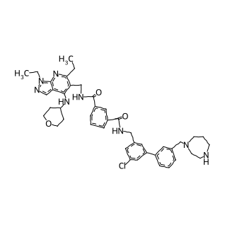 CCc1nc2c(cnn2CC)c(NC2CCOCC2)c1CNC(=O)c1cccc(C(=O)NCc2cc(Cl)cc(-c3cccc(CN4CCCNCC4)c3)c2)c1